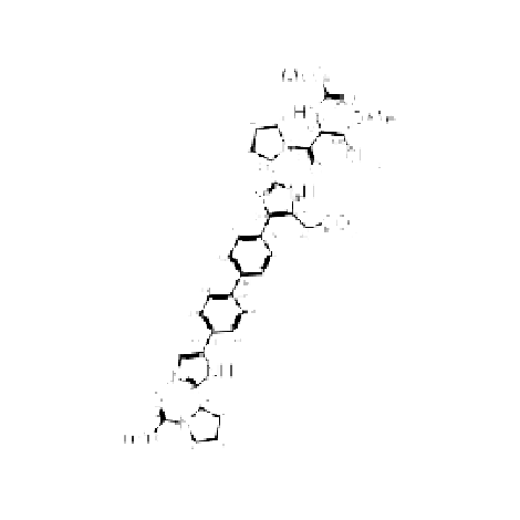 CCCC(=O)N1CCC[C@H]1c1ncc(-c2ccc(-c3ccc(-c4nc([C@@H]5CCCN5C(=O)[C@@H](NC(=O)OC)[C@@H](C)OC)[nH]c4CC(=O)O)cc3)cc2)[nH]1